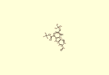 CC(C)(C)OC(=O)Nc1sc2cc(C=O)cnc2c1NC(=O)OC(C)(C)C